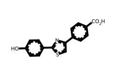 O=C(O)c1ccc(-c2csc(-c3ccc(O)cc3)n2)cc1